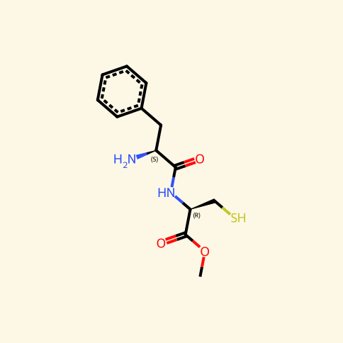 COC(=O)[C@H](CS)NC(=O)[C@@H](N)Cc1ccccc1